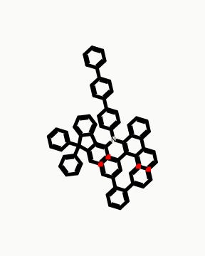 c1ccc(-c2ccc(-c3ccc(N(c4cccc5c4-c4ccccc4C5(c4ccccc4)c4ccccc4)c4c(-c5cccc(-c6ccccc6-c6ccccc6)c5)c5ccccc5c5ccccc45)cc3)cc2)cc1